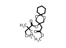 CCC(C)(C)C(=O)OC1(CC(=O)OC)COC2(CCCCC2)OC1